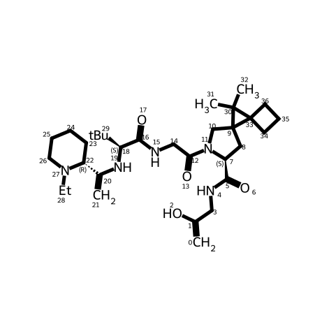 C=C(O)CNC(=O)[C@@H]1CC2(CN1C(=O)CNC(=O)[C@@H](NC(=C)[C@H]1CCCCN1CC)C(C)(C)C)C(C)(C)C21CCC1